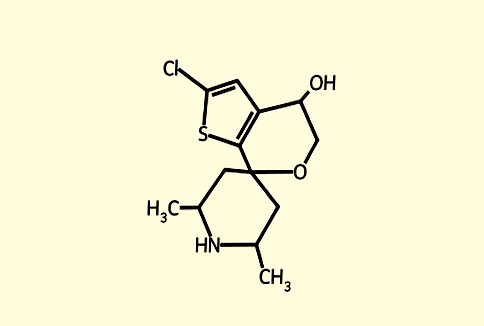 CC1CC2(CC(C)N1)OCC(O)c1cc(Cl)sc12